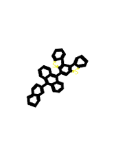 c1ccc2cc(-c3c4ccccc4c(-c4cc5sc6ccccc6c5c5c4sc4ccccc45)c4ccccc34)ccc2c1